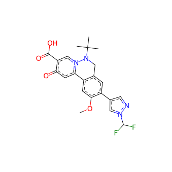 COc1cc2c(cc1-c1cnn(C(F)F)c1)CN(C(C)(C)C)n1cc(C(=O)O)c(=O)cc1-2